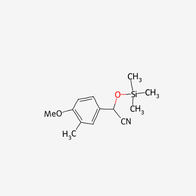 COc1ccc(C(C#N)O[Si](C)(C)C)cc1C